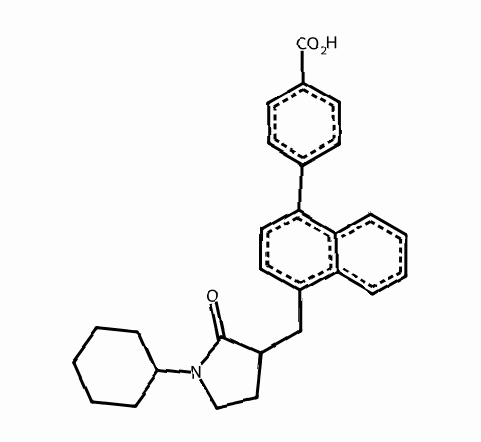 O=C(O)c1ccc(-c2ccc(CC3CCN(C4CCCCC4)C3=O)c3ccccc23)cc1